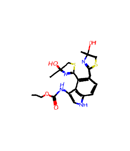 CCOC(=O)Nc1c[nH]c2ccc(C3=NC(C)(O)CS3)c(C3=NC(C)(O)CS3)c12